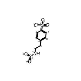 O=[SH](=O)NCCc1ccc(S(=O)(=O)Cl)cc1